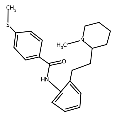 CSc1ccc(C(=O)Nc2ccccc2CCC2CCCCN2C)cc1